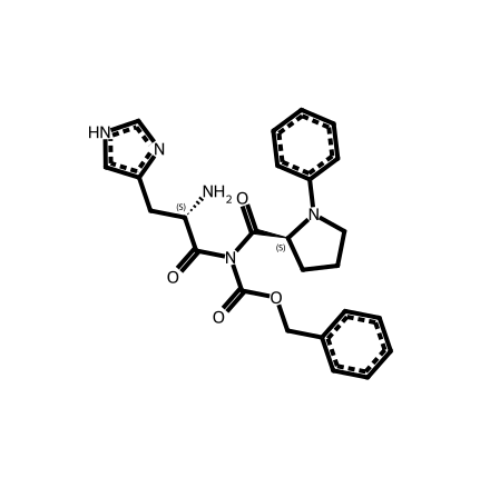 N[C@@H](Cc1c[nH]cn1)C(=O)N(C(=O)OCc1ccccc1)C(=O)[C@@H]1CCCN1c1ccccc1